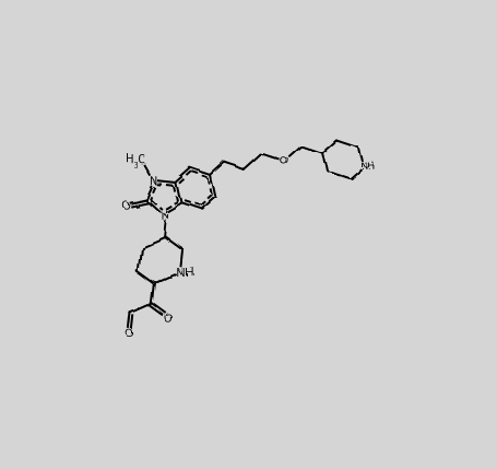 Cn1c(=O)n(C2CCC(C(=O)C=O)NC2)c2ccc(CCCOCC3CCNCC3)cc21